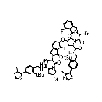 Cc1ncsc1-c1ccc(CNC(=O)C2CC(Oc3ccc4c(c3F)C(=O)N(C(C(=O)N3CC(O)CC3C(=O)NCc3ccc(-c5scnc5C)cc3C(C)(C)C)C(C)C)C4)CN2C(=O)C(C(C)C)N2Cc3cccc(F)c3C2=O)c(C(C)(C)C)c1